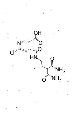 NC(=O)C(CCNC(=O)c1cc(Cl)ncc1C(=O)O)C(N)=O